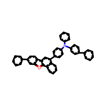 c1ccc(-c2ccc(N(c3ccccc3)c3ccc(-c4cc5c6ccc(-c7ccccc7)cc6oc5c5ccccc45)cc3)cc2)cc1